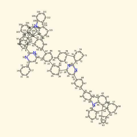 c1ccc(-c2cccc(-c3nc(-c4ccccc4)cc(-c4cc(-c5cccc(-c6cc(-c7ccc(-c8ccc9c(c8)c8cccc%10c8n9-c8ccccc8C%108c9ccccc9-c9ccccc98)cc7)nc(-c7ccccc7-c7ccccc7)n6)c5)ccc4-c4ccc5c(c4)-c4ccccc4C54c5ccccc5-n5c6ccccc6c6cccc4c65)n3)c2)cc1